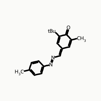 CC1=CC(=CN=Nc2ccc(C)cc2)C=C(C(C)(C)C)C1=O